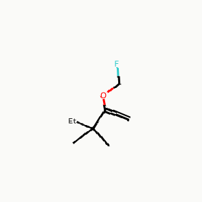 C=C(OCF)C(C)(C)CC